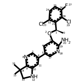 C[C@@H](Oc1cc(-c2cnc3c(c2)NCC3(C)C)cnc1N)c1c(Cl)ccc(F)c1Cl